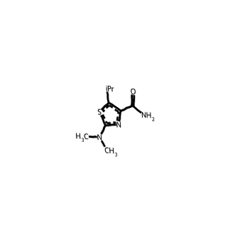 CC(C)c1sc(N(C)C)nc1C(N)=O